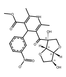 COC(=O)C1=C(C)NC(C)=C(C(=O)[C@@]2(O)CO[C@@H]3[C@@H](O)CO[C@@H]32)C1c1cccc([N+](=O)[O-])c1